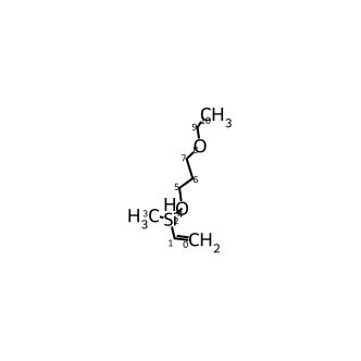 C=C[SiH](C)OCCCOCC